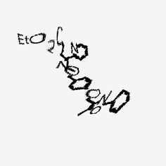 CCOC(=O)CCC(=NOCc1ccc(OCc2nc(-c3ccccc3)oc2C)cc1)c1ccccn1